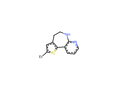 CCc1cc2c(s1)-c1cccnc1NCC2